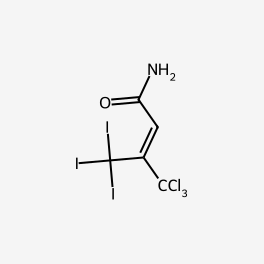 NC(=O)/C=C(/C(Cl)(Cl)Cl)C(I)(I)I